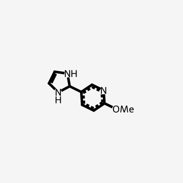 COc1ccc(C2NC=CN2)cn1